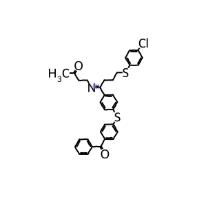 CC(=O)CC/N=C(\CCCSc1ccc(Cl)cc1)c1ccc(Sc2ccc(C(=O)c3ccccc3)cc2)cc1